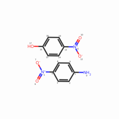 Nc1ccc([N+](=O)[O-])cc1.O=[N+]([O-])c1ccc(O)cc1